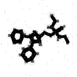 CCOP(=O)(CCc1nc(-c2ccccc2)c(-c2ccccc2)o1)OCC